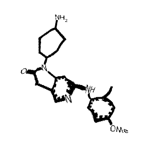 COc1ccc(Nc2cc3c(cn2)CC(=O)N3C2CCC(N)CC2)c(C)c1